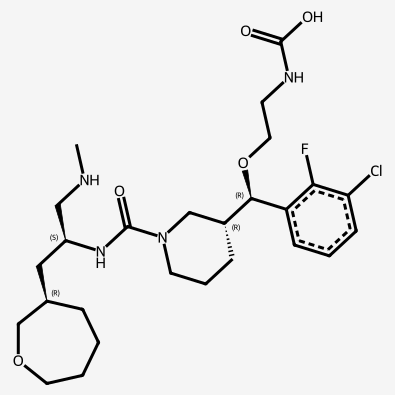 CNC[C@H](C[C@H]1CCCCOC1)NC(=O)N1CCC[C@@H]([C@@H](OCCNC(=O)O)c2cccc(Cl)c2F)C1